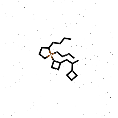 CCCCC1CCCS1(CCCC)C1CCC1CC(C)C1CCC1